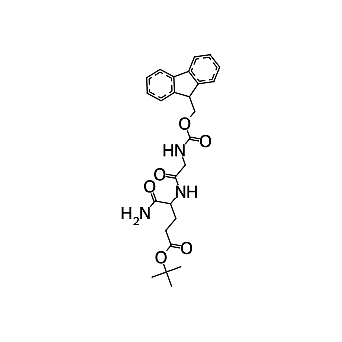 CC(C)(C)OC(=O)CCC(NC(=O)CNC(=O)OCC1c2ccccc2-c2ccccc21)C(N)=O